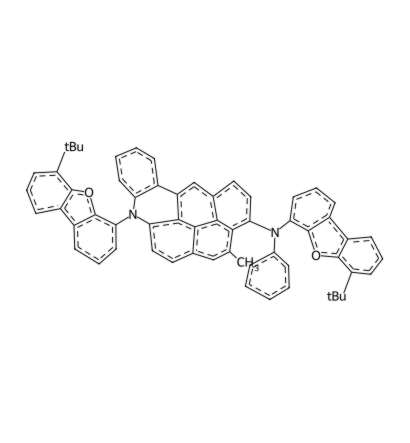 Cc1cc2ccc3c4c(cc5ccc(N(c6ccccc6)c6cccc7c6oc6c(C(C)(C)C)cccc67)c1c5c24)-c1ccccc1N3c1cccc2c1oc1c(C(C)(C)C)cccc12